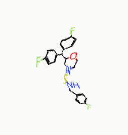 Fc1ccc(CNSN2CCOC(C(c3ccc(F)cc3)c3ccc(F)cc3)C2)cc1